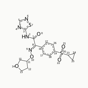 O=C(Nc1ncns1)/C(=N/OC1CCOC1)c1ccc(S(=O)(=O)C2CC2)cc1